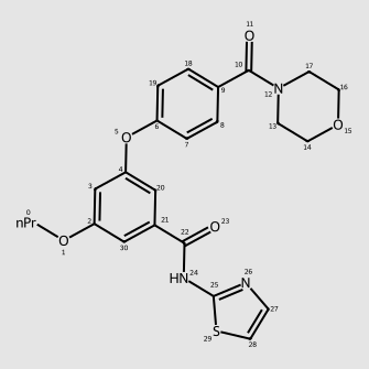 CCCOc1cc(Oc2ccc(C(=O)N3CCOCC3)cc2)cc(C(=O)Nc2nccs2)c1